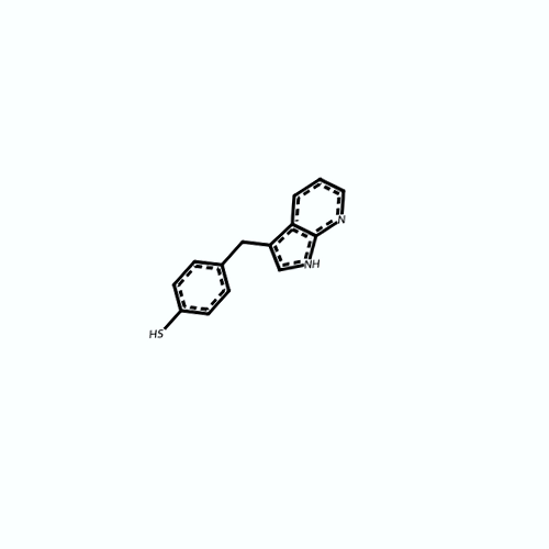 Sc1ccc(Cc2c[nH]c3ncccc23)cc1